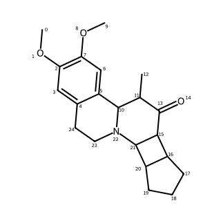 COc1cc2c(cc1OC)C1C(C)C(=O)C3C4CCCC4C3N1CC2